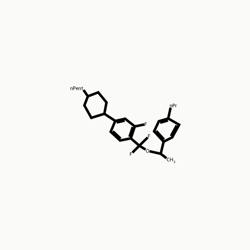 CCCCCC1CCC(c2ccc(C(F)(F)OC(C)c3ccc(CCC)cc3)c(F)c2)CC1